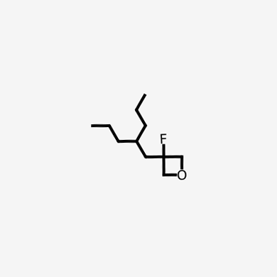 CCCC(CCC)CC1(F)COC1